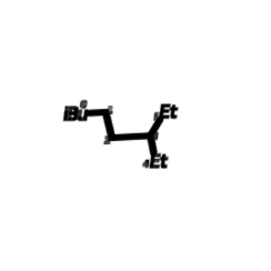 [CH2]C(CC)CCC(CC)CC